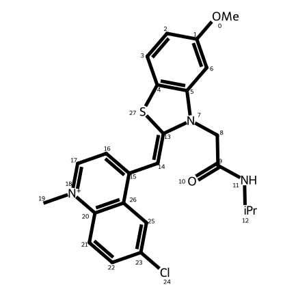 COc1ccc2c(c1)N(CC(=O)NC(C)C)/C(=C/c1cc[n+](C)c3ccc(Cl)cc13)S2